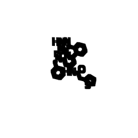 CCCN(Cc1ccccc1)c1cc(NC(=O)Cc2cccs2)cc(-c2ccccc2-c2nn[nH]n2)n1